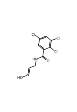 O=C(NC/C=N/O)c1cc(Cl)cc(Cl)c1Cl